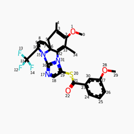 COC1=C(C)CC23C=CC=C(C(F)(F)F)N2c2ncc(SC(=O)c4cccc(OC)c4)n2C3=C1C